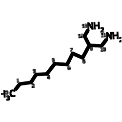 CCCCCCCCCC(CN)CN